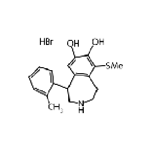 Br.CSc1c(O)c(O)cc2c1CCNCC2c1ccccc1C